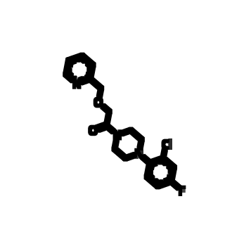 O=C(COCc1ccccn1)N1CCN(c2ccc(F)cc2Cl)CC1